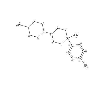 CCCC1CCC(C2CCC(C#N)(c3ccc(CC)cc3)CC2)CC1